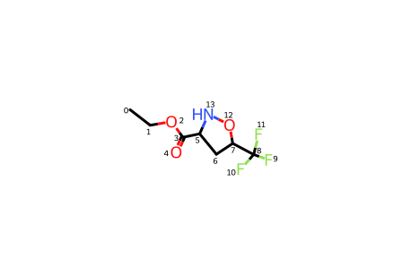 CCOC(=O)C1CC(C(F)(F)F)ON1